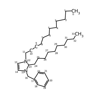 CCCCCCCCCCCCN1C=CN(Cc2ccccc2)C1CCCCCCCCCC